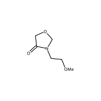 COCCN1COCC1=O